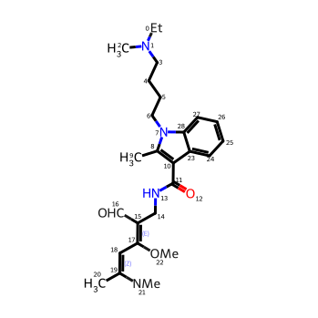 CCN(C)CCCCn1c(C)c(C(=O)NC/C(C=O)=C(/C=C(/C)NC)OC)c2ccccc21